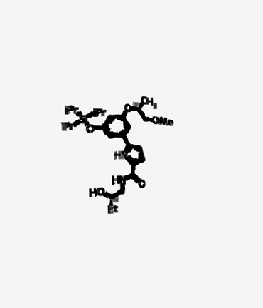 CC[C@H](O)CNC(=O)c1ccc(-c2cc(O[C@@H](C)COC)cc(O[Si](C(C)C)(C(C)C)C(C)C)c2)[nH]1